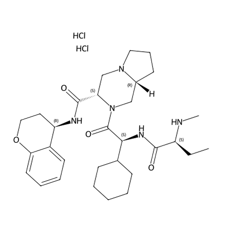 CC[C@H](NC)C(=O)N[C@H](C(=O)N1C[C@H]2CCCN2C[C@H]1C(=O)N[C@@H]1CCOc2ccccc21)C1CCCCC1.Cl.Cl